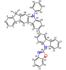 CC1(C)c2ccccc2-c2cc3c4cc(-c5ccc6c(c5)c5ccccc5n6-c5nc6ccccc6o5)ccc4n(-c4ccccc4)c3cc21